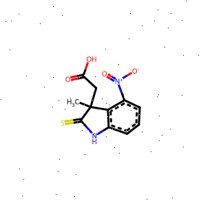 CC1(CC(=O)O)C(=S)Nc2cccc([N+](=O)[O-])c21